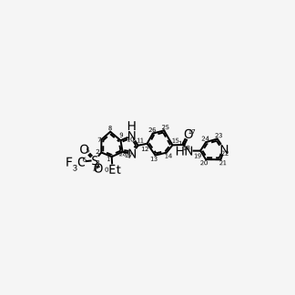 CCc1c(S(=O)(=O)C(F)(F)F)ccc2[nH]c(-c3ccc(C(=O)Nc4ccncc4)cc3)nc12